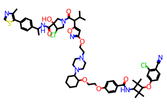 Cc1ncsc1-c1ccc(C(C)NC(=O)C2(O)CN(C(=O)C(c3cc(OCCN4CCN(C5CCCCC5OCCOc5ccc(C(=O)NC6C(C)(C)C(Oc7ccc(C#N)c(Cl)c7)C6(C)C)cc5)CC4)no3)C(C)C)CC2Cl)cc1